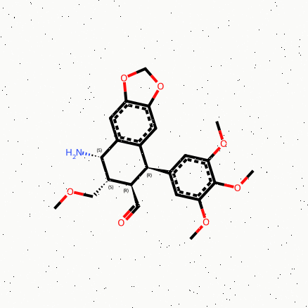 COC[C@H]1[C@H](C=O)[C@H](c2cc(OC)c(OC)c(OC)c2)c2cc3c(cc2[C@H]1N)OCO3